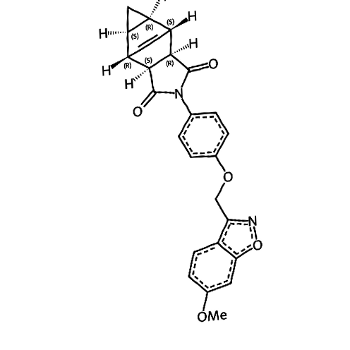 COc1ccc2c(COc3ccc(N4C(=O)[C@@H]5[C@@H]6C=C[C@@H]([C@H]7C[C@@H]67)[C@@H]5C4=O)cc3)noc2c1